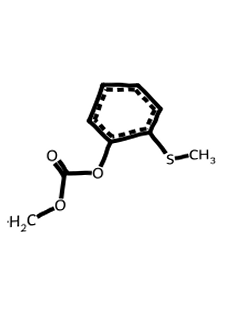 [CH2]OC(=O)Oc1ccccc1SC